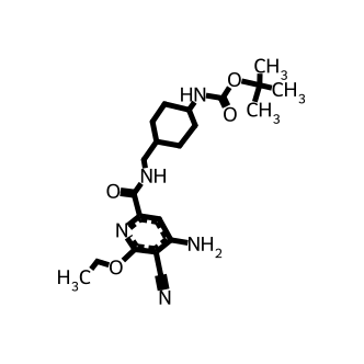 CCOc1nc(C(=O)NCC2CCC(NC(=O)OC(C)(C)C)CC2)cc(N)c1C#N